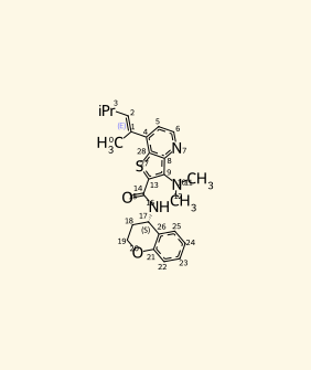 C/C(=C\C(C)C)c1ccnc2c(N(C)C)c(C(=O)N[C@H]3CCOc4ccccc43)sc12